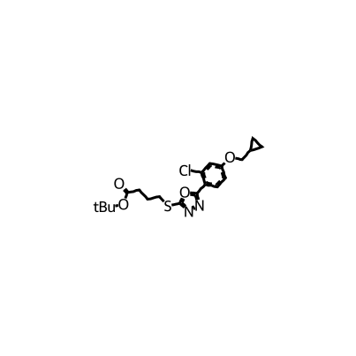 CC(C)(C)OC(=O)CCCSc1nnc(-c2ccc(OCC3CC3)cc2Cl)o1